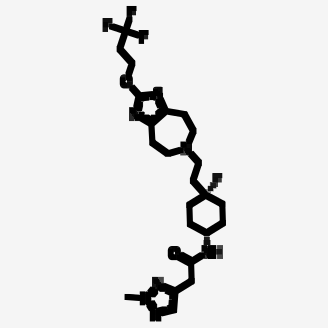 Cn1ncc(CC(=O)N[C@H]2CC[C@](F)(CCN3CCc4nc(OCCC(F)(F)F)sc4CC3)CC2)n1